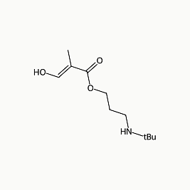 CC(=CO)C(=O)OCCCNC(C)(C)C